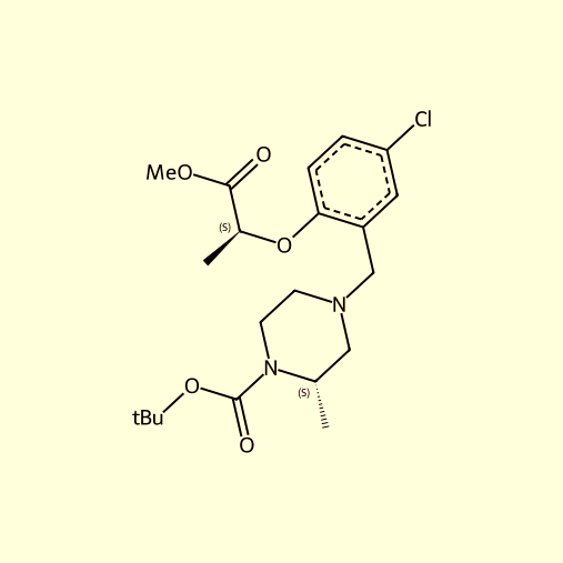 COC(=O)[C@H](C)Oc1ccc(Cl)cc1CN1CCN(C(=O)OC(C)(C)C)[C@@H](C)C1